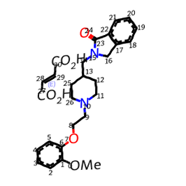 COc1ccccc1OCCN1CCC(CN2Cc3ccccc3C2=O)CC1.O=C(O)/C=C/C(=O)O